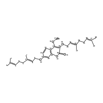 CC(C)=CCC/C(C)=C/COc1ccc2c(OC(C)C)c(OC/C=C(\C)CCC=C(C)C)c(=O)oc2c1